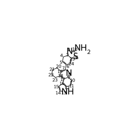 NC1=NC2CC=C(c3nc4ccc5[nH]ccc5c4c4c3CCCC4)C=C2S1